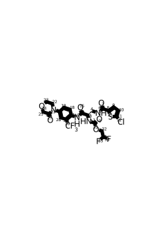 O=C(N[C@@H](CNC(=O)c1ccc(Cl)s1)C(=O)Nc1ccc(N2CCOCC2=O)cc1C(F)(F)F)OCC(F)F